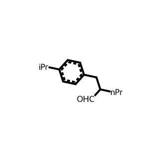 CCCC(C=O)Cc1ccc(C(C)C)cc1